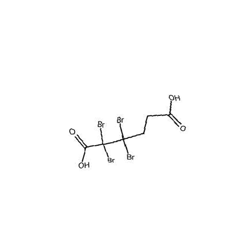 O=C(O)CCC(Br)(Br)C(Br)(Br)C(=O)O